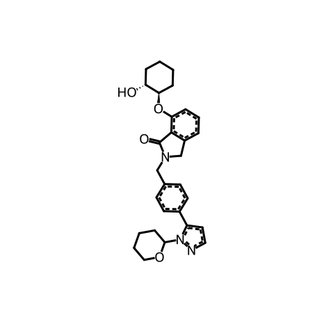 O=C1c2c(cccc2O[C@@H]2CCCC[C@H]2O)CN1Cc1ccc(-c2ccnn2C2CCCCO2)cc1